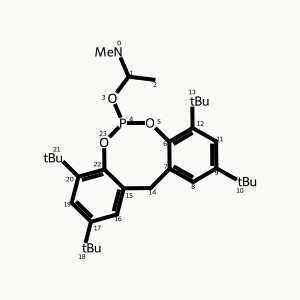 CNC(C)OP1Oc2c(cc(C(C)(C)C)cc2C(C)(C)C)Cc2cc(C(C)(C)C)cc(C(C)(C)C)c2O1